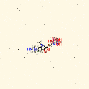 O=C(CSC(=O)c1cn(C2CC2)c2cc(N3CCNCC3)c(F)cc2c1=O)NC(P(=O)(O)O)P(=O)(O)O